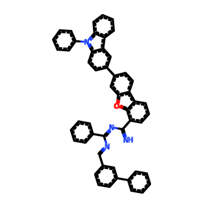 N=C(/N=C(\N=C\c1cccc(-c2ccccc2)c1)c1ccccc1)c1cccc2c1oc1cc(-c3ccc4c(c3)c3ccccc3n4-c3ccccc3)ccc12